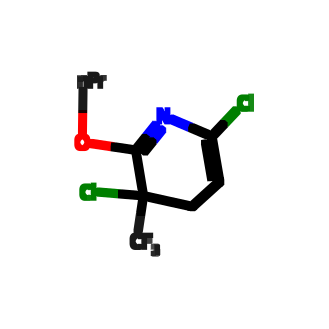 CCCOC1=NC(Cl)=CCC1(Cl)C(F)(F)F